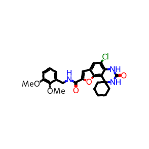 COc1cccc(CNC(=O)c2cc3cc(Cl)c4c(c3o2)C2(CCCCC2)NC(=O)N4)c1OC